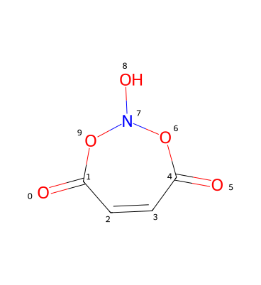 O=C1C=CC(=O)ON(O)O1